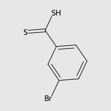 S=C(S)c1cccc(Br)c1